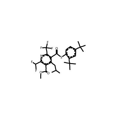 COC(=O)c1c(C(F)F)nc(C(F)(F)F)c(C(=O)Sc2ccc(C(C)(C)C)cc2C(C)(C)C)c1CC(C)C